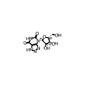 O=c1[nH]c(=O)n([C@@H]2O[C@H](CO)[C@@H](O)[C@H]2O)c2nn[nH]c12